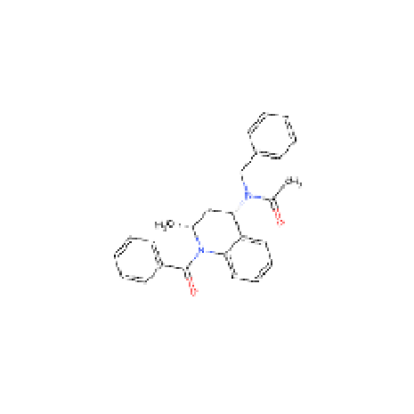 CC(=O)N(Cc1ccccc1)[C@H]1C[C@@H](C)N(C(=O)c2ccccc2)c2ccccc21